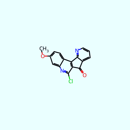 COc1ccc2c3c(c(Cl)nc2c1)C(=O)c1cccnc1-3